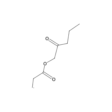 [CH2]CC(=O)OCC(=O)CCC